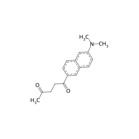 CC(=O)CCC(=O)c1ccc2cc(N(C)C)ccc2c1